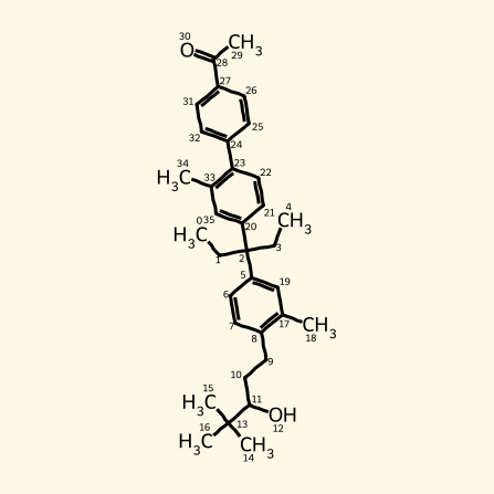 CCC(CC)(c1ccc(CCC(O)C(C)(C)C)c(C)c1)c1ccc(-c2ccc(C(C)=O)cc2)c(C)c1